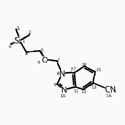 C[Si](C)(C)CCOCn1cnc2cc(C#N)ccc21